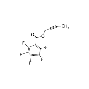 CC#CCOC(=O)c1c(F)c(F)c(F)c(F)c1F